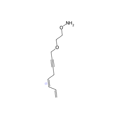 C=C/C=C\CC#CCOCCON